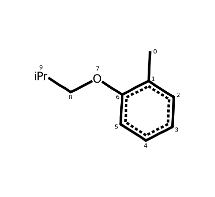 Cc1ccccc1OCC(C)C